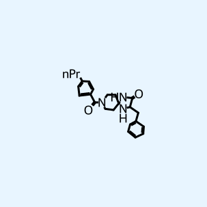 CCCc1ccc(C(=O)N2CCC3(CC2)NC(=O)C(Cc2ccccc2)N3)cc1